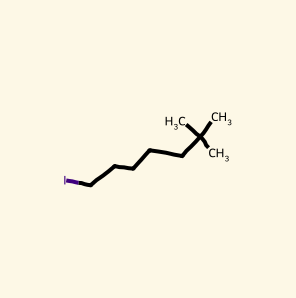 CC(C)(C)CCCCCI